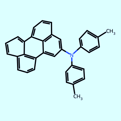 Cc1ccc(N(c2ccc(C)cc2)c2cc3cccc4c5cccc6cccc(c(c2)c34)c65)cc1